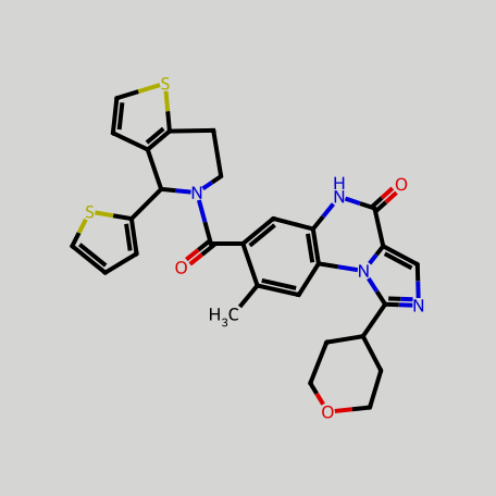 Cc1cc2c(cc1C(=O)N1CCc3sccc3C1c1cccs1)[nH]c(=O)c1cnc(C3CCOCC3)n12